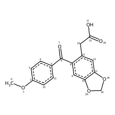 COc1ccc(C(=O)c2cc3c(cc2CC(=O)O)OCO3)cc1